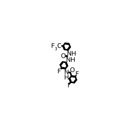 O=C(Nc1cccc(C(F)(F)F)c1)Nc1ccc(F)c(NC(=O)c2cc(I)ccc2F)c1